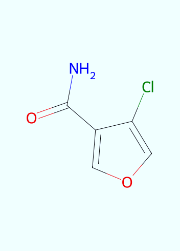 NC(=O)c1cocc1Cl